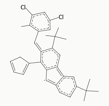 Cc1c(Cl)cc(Cl)cc1C=c1c(C(C)(C)C)cc2c(c1C1=CC=CC1)[C]=c1ccc(C(C)(C)C)cc1=2